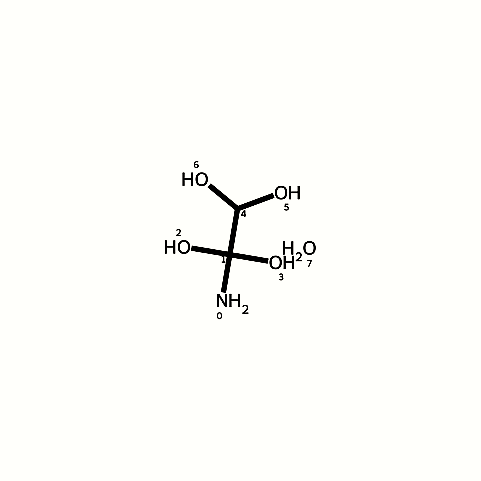 NC(O)(O)C(O)O.O